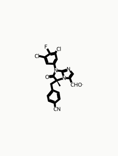 C[C@@]1(Cc2ccc(C#N)cc2)C(=O)N(c2cc(Cl)c(F)c(Cl)c2)c2ncc([C]=O)n21